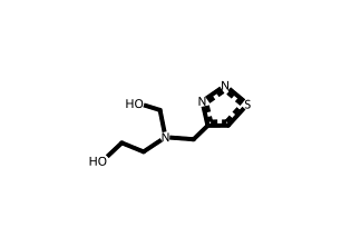 OCCN(CO)Cc1csnn1